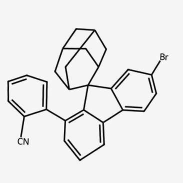 N#Cc1ccccc1-c1cccc2c1C1(c3cc(Br)ccc3-2)C2CC3CC(C2)CC1C3